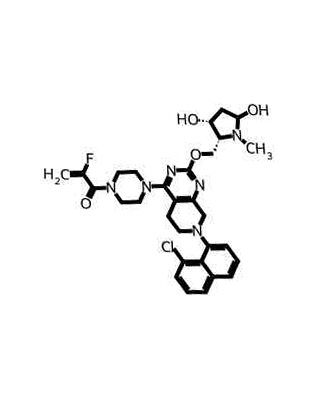 C=C(F)C(=O)N1CCN(c2nc(OC[C@@H]3[C@H](O)CC(O)N3C)nc3c2CCN(c2cccc4cccc(Cl)c24)C3)CC1